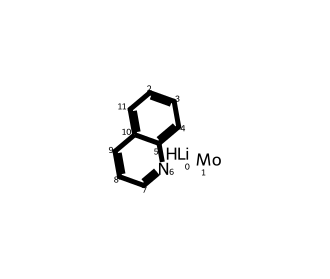 [LiH].[Mo].c1ccc2ncccc2c1